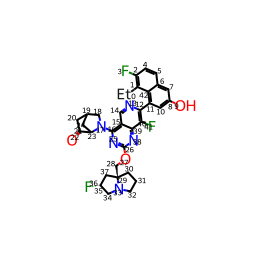 CCc1c(F)ccc2cc(O)cc(-c3ncc4c(N5CC6CC(=O)C5C6)nc(OC[C@@]56CCCN5C[C@H](F)C6)nc4c3F)c12